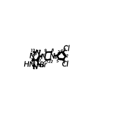 Clc1cc(Cl)cc(N2CCN(c3ncnc4[nH]nc(Br)c34)CC2)c1